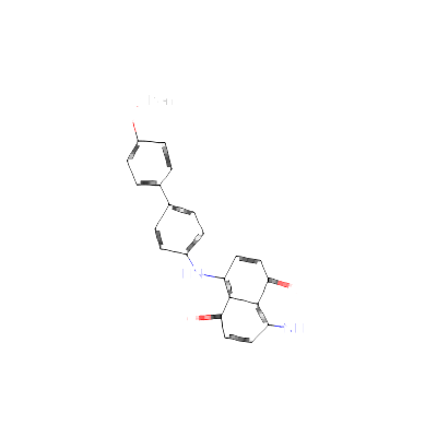 CCCCCOc1ccc(-c2ccc(NC3=C4C(=O)C=CC(N)=C4C(=O)C=C3)cc2)cc1